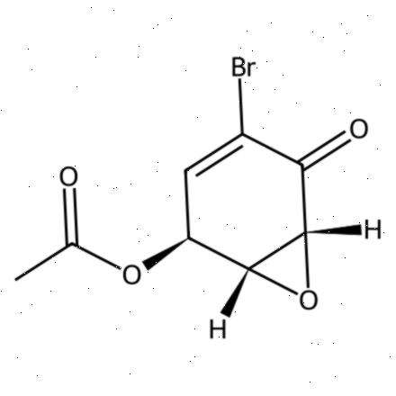 CC(=O)O[C@H]1C=C(Br)C(=O)[C@@H]2O[C@H]12